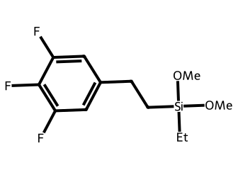 CC[Si](CCc1cc(F)c(F)c(F)c1)(OC)OC